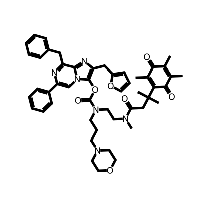 CC1=C(C)C(=O)C(C(C)(C)CC(=O)N(C)CCN(CCCN2CCOCC2)C(=O)Oc2c(Cc3ccco3)nc3c(Cc4ccccc4)nc(-c4ccccc4)cn23)=C(C)C1=O